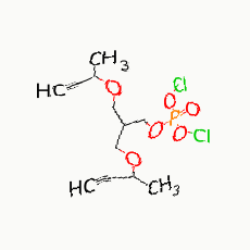 C#CC(C)OCC(COC(C)C#C)COP(=O)(OCl)OCl